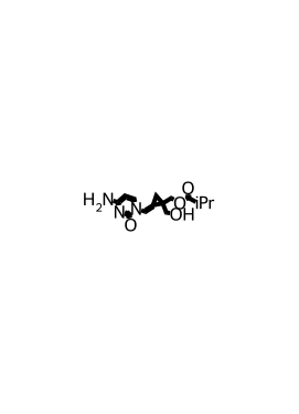 CC(C)C(=O)OCC1(CO)CC1=Cn1ccc(N)nc1=O